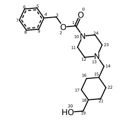 O=C(OCc1ccccc1)N1CCN(CC2CCC(CO)CC2)CC1